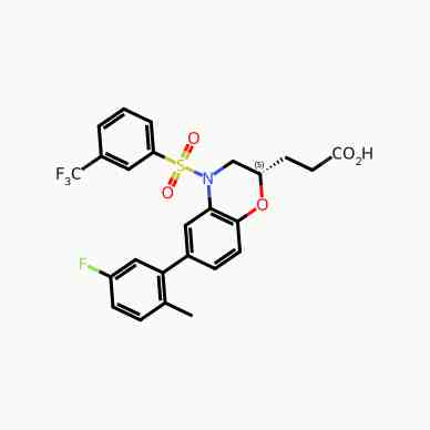 Cc1ccc(F)cc1-c1ccc2c(c1)N(S(=O)(=O)c1cccc(C(F)(F)F)c1)C[C@H](CCC(=O)O)O2